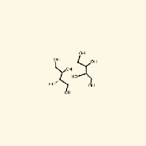 OCC(O)C(O)CO.OC[C@@H](O)[C@@H](O)CO